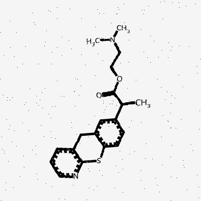 CC(C(=O)OCCN(C)C)c1ccc2c(c1)Cc1cccnc1S2